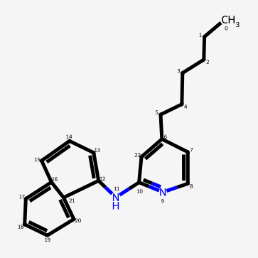 CCCCCCc1ccnc(Nc2cccc3ccccc23)c1